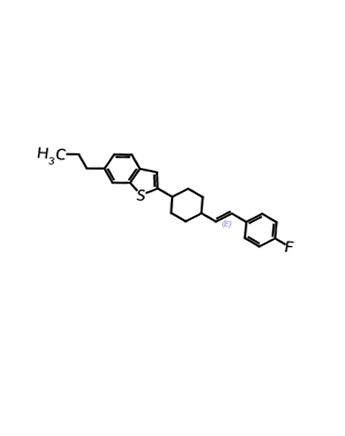 CCCc1ccc2cc(C3CCC(/C=C/c4ccc(F)cc4)CC3)sc2c1